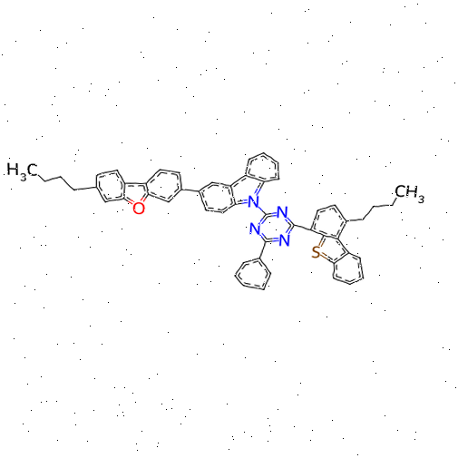 CCCCc1ccc2c(c1)oc1cc(-c3ccc4c(c3)c3ccccc3n4-c3nc(-c4ccccc4)nc(-c4ccc(CCCC)c5c4sc4ccccc45)n3)ccc12